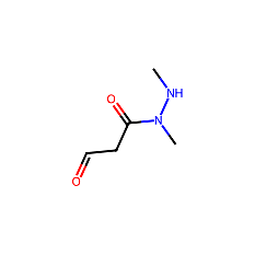 CNN(C)C(=O)CC=O